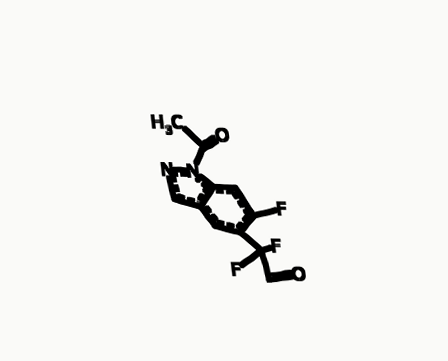 CC(=O)n1ncc2cc(C(F)(F)C=O)c(F)cc21